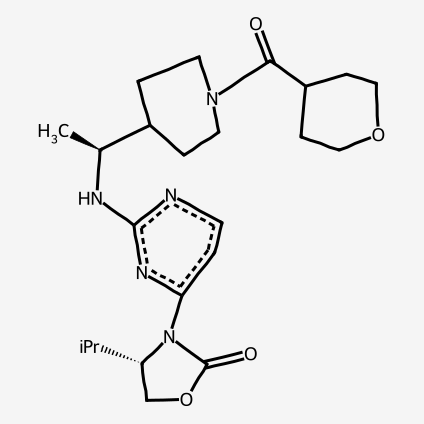 CC(C)[C@H]1COC(=O)N1c1ccnc(N[C@@H](C)C2CCN(C(=O)C3CCOCC3)CC2)n1